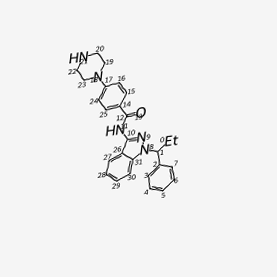 CCC(c1ccccc1)n1nc(NC(=O)c2ccc(N3CCNCC3)cc2)c2ccccc21